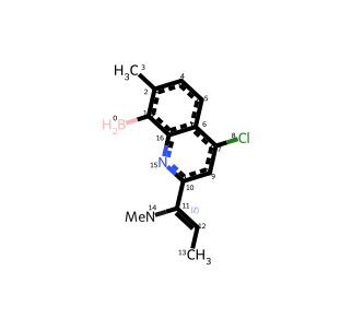 Bc1c(C)ccc2c(Cl)cc(/C(=C/C)NC)nc12